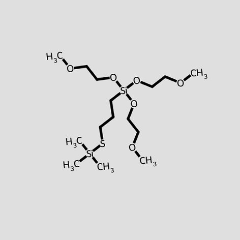 COCCO[Si](CCCS[Si](C)(C)C)(OCCOC)OCCOC